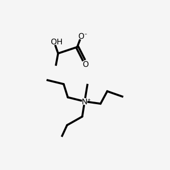 CC(O)C(=O)[O-].CCC[N+](C)(CCC)CCC